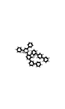 C1=C(c2ccccc2)N=C(c2ccc(-c3cccc(-c4ccccc4)c3)c3oc4c(-c5ccc(-c6ccccc6)cc5)cccc4c23)NC1c1ccccc1